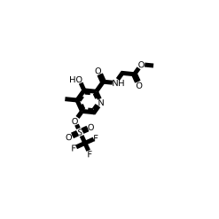 COC(=O)CNC(=O)c1ncc(OS(=O)(=O)C(F)(F)F)c(C)c1O